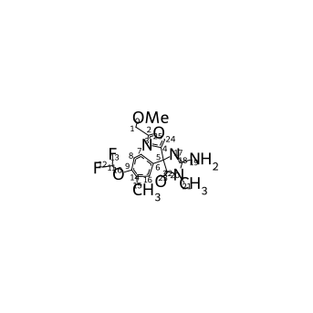 COCc1nc(C2(c3ccc(OC(F)F)c(C)c3)N=C(N)N(C)C2=O)co1